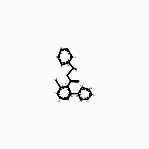 C=C(CC(C)c1ccccc1)c1c(C)cccc1-c1ccccc1